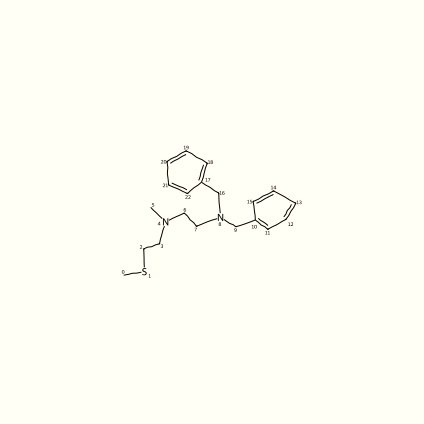 CSCCN(C)CCN(Cc1ccccc1)Cc1ccccc1